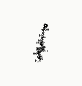 CC(C)(COP(=O)(O)OP(=O)(O)OC[C@H]1O[C@@H](n2cnc3c(N)ncnc32)[C@H](O)[C@@H]1OP(=O)(O)O)C(O)C(=O)NCCC(=O)NCCSC(=O)C(O)Cc1ccccc1